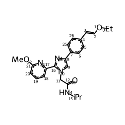 CCOC=Cc1ccc(-c2cn(CC(=O)NC(C)C)c(-c3cccc(OC)n3)n2)cc1